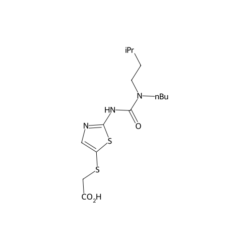 CCCCN(CCC(C)C)C(=O)Nc1ncc(SCC(=O)O)s1